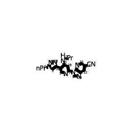 CCCn1cc(-c2cnc(-n3cnc4cc(C#N)cnc43)cc2NC(C)C)nn1